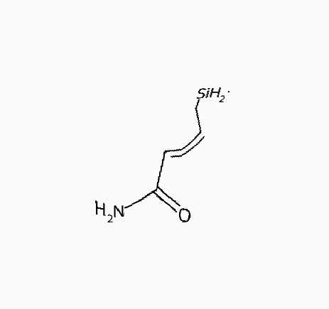 NC(=O)C=C[SiH2]